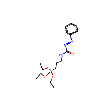 CCO[Si](CCCNC(=O)/N=N/c1ccccc1)(OCC)OCC